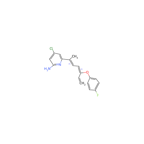 C=C/C(=C\C=C(/C)c1cc(Cl)cc(N)n1)Oc1ccc(F)cc1